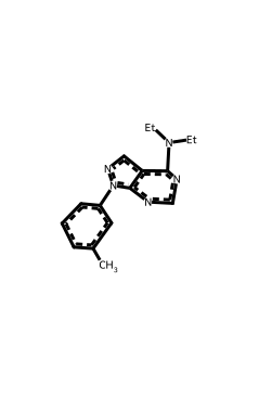 CCN(CC)c1ncnc2c1cnn2-c1cccc(C)c1